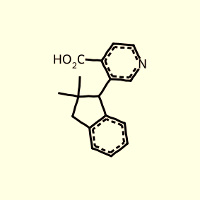 CC1(C)Cc2ccccc2C1c1cnccc1C(=O)O